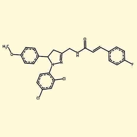 COc1ccc(C2CC(CNC(=O)C=Cc3ccc(F)cc3)=NN2c2ccc(Cl)cc2Cl)cc1